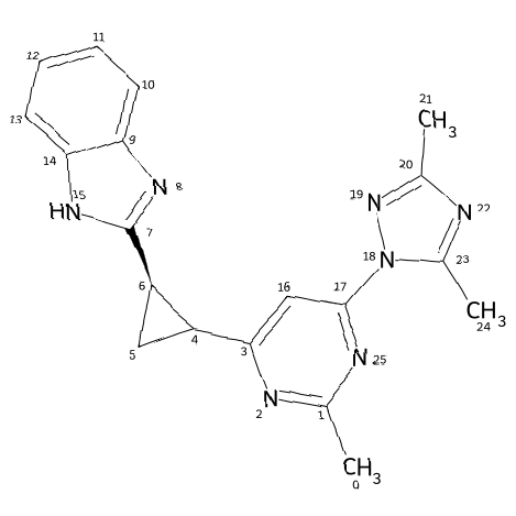 Cc1nc(C2C[C@H]2c2nc3ccccc3[nH]2)cc(-n2nc(C)nc2C)n1